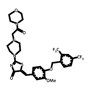 COc1cc(/C=C2\SC(N3CCN(CC(=O)N4CCOCC4)CC3)=NC2=O)ccc1OCc1ccc(C(F)(F)F)cc1C(F)(F)F